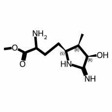 COC(=O)C(N)CC[C@@H]1NC(=N)[C@H](O)[C@@H]1C